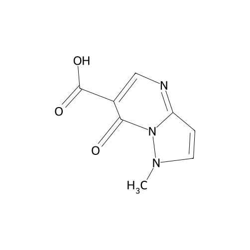 Cn1ccc2ncc(C(=O)O)c(=O)n21